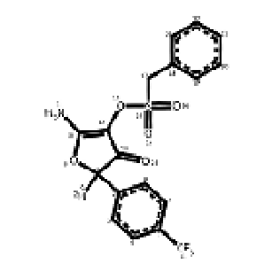 [2H]C1(c2ccc(C(F)(F)F)cc2)OC(N)=C(OS(=O)(=O)Cc2ccccc2)C1=O